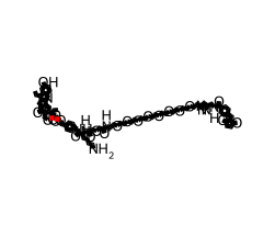 CCc1c2c(nc3ccc(O)cc13)-c1cc3c(c(=O)n1C2)COC(=O)C3(CC)OC(=O)OCc1ccc(NC(=O)C(CCCCN)NC(=O)COCC(=O)NCCOCCOCCOCCOCCOCCOCCOCCOCCn2cc(CNC(=O)C3CCC(CN4C(=O)C=CC4=O)CC3)nn2)cc1